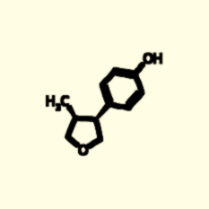 C[C@@H]1COC[C@@H]1c1ccc(O)cc1